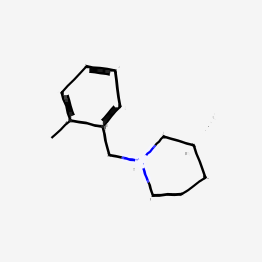 Cc1ccccc1CN1CCC[C@@H](C)C1